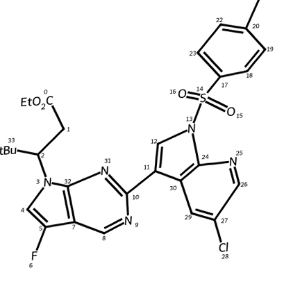 CCOC(=O)CC(n1cc(F)c2cnc(-c3cn(S(=O)(=O)c4ccc(C)cc4)c4ncc(Cl)cc34)nc21)C(C)(C)C